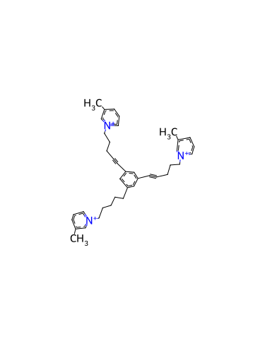 Cc1ccc[n+](CCCC#Cc2cc(C#CCCC[n+]3cccc(C)c3)cc(CCCCC[n+]3cccc(C)c3)c2)c1